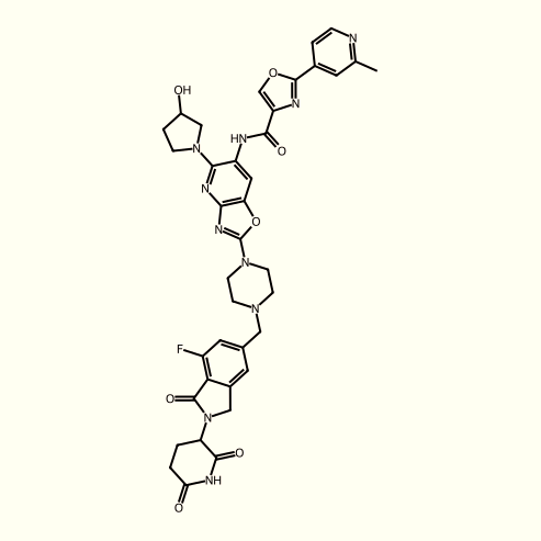 Cc1cc(-c2nc(C(=O)Nc3cc4oc(N5CCN(Cc6cc(F)c7c(c6)CN(C6CCC(=O)NC6=O)C7=O)CC5)nc4nc3N3CCC(O)C3)co2)ccn1